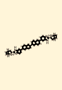 c1cc2cc(-c3ccc4nc([C@@H]5C[C@H]6CC[C@H]6N5)[nH]c4c3)ccc2cc1-c1ccc2cc(-c3ccc4nc([C@@H]5C[C@H]6CC[C@H]6N5)[nH]c4c3)ccc2c1